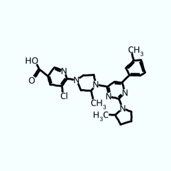 Cc1cccc(-c2cc(N3CCN(c4ncc(C(=O)O)cc4Cl)CC3C)nc(N3CCCC3C)n2)c1